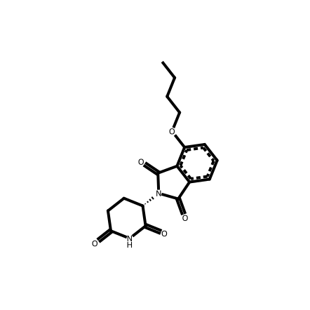 CCCCOc1cccc2c1C(=O)N([C@H]1CCC(=O)NC1=O)C2=O